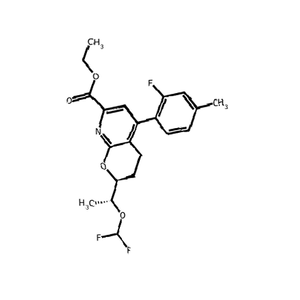 CCOC(=O)c1cc(-c2ccc(C)cc2F)c2c(n1)O[C@H]([C@@H](C)OC(F)F)CC2